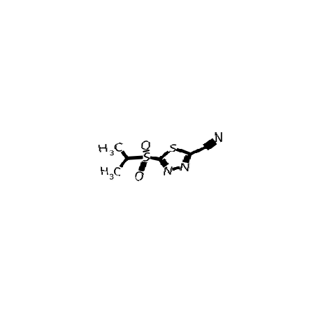 CC(C)S(=O)(=O)c1nnc(C#N)s1